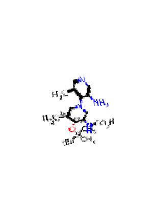 Cc1cncc(N)c1N1C[C@H](C)[C@@H](O[Si](C)(C)C(C)(C)C)[C@H](NC(=O)O)C1